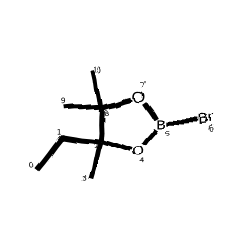 CCC1(C)OB(Br)OC1(C)C